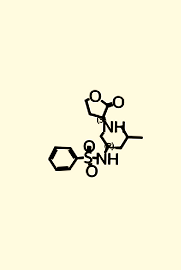 CC(C)C[C@H](CN[C@H]1CCOC1=O)NS(=O)(=O)c1ccccc1